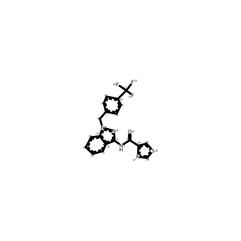 O=C(Nc1nn(Cc2ccc(C(F)(F)F)cc2)c2ccccc12)c1cscn1